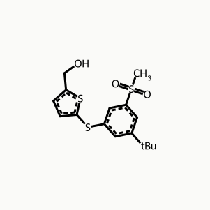 CC(C)(C)c1cc(Sc2ccc(CO)s2)cc(S(C)(=O)=O)c1